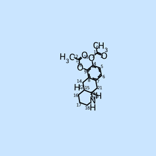 CC(=O)Oc1ccc2c(c1OC(C)=O)C[C@@H]1CCCN[C@H]1C2